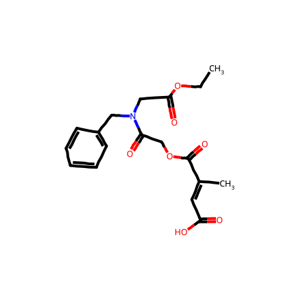 CCOC(=O)CN(Cc1ccccc1)C(=O)COC(=O)C(C)=CC(=O)O